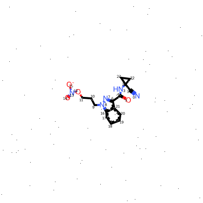 N#CC1(NC(=O)c2nn(CCCO[N+](=O)[O-])c3ccccc23)CC1